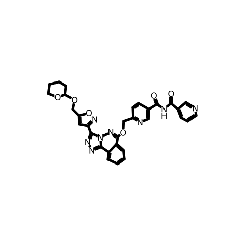 O=C(NC(=O)c1ccc(COc2nn3c(-c4cc(COC5CCCCO5)on4)nnc3c3ccccc23)nc1)c1cccnc1